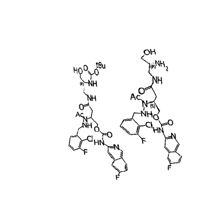 CC(=O)N(NCc1cccc(F)c1Cl)C(COC(=O)Nc1cc2cc(F)ccc2cn1)CC(=O)NC[C@H](CO)NC(=O)OC(C)(C)C.CC(=O)N(NCc1cccc(F)c1Cl)[C@H](COC(=O)Nc1cc2cc(F)ccc2cn1)CC(=O)NC[C@@H](N)CO